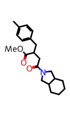 COC(=O)C(CC(=O)N1CC2CCCCC2C1)Cc1ccc(C)cc1